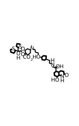 CN(CCCOc1ccc(CCNC[C@@H](O)c2ccc(O)c3[nH]c(=O)ccc23)cc1)C1CCC(OC(=O)C(O)(c2cccs2)c2cccs2)(C(=O)O)CC1